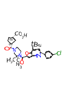 CC(C)(C)c1cc(-c2ccc(Cl)cc2)nc2cc(C(=O)N3CCN(C(=O)[C@@H]4CC[C@H](C(=O)O)C4)CC3(C)C)oc12